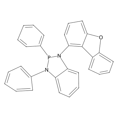 c1ccc(N2c3ccccc3N(c3cccc4oc5ccccc5c34)P2c2ccccc2)cc1